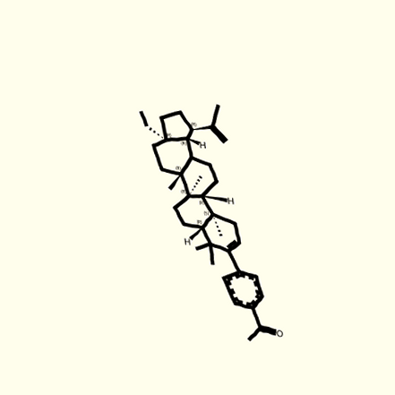 C=C(C)[C@@H]1CC[C@]2(CC)CC[C@]3(C)C(CC[C@@H]4[C@@]5(C)CC=C(c6ccc(C(C)=O)cc6)C(C)(C)[C@@H]5CC[C@]43C)[C@@H]12